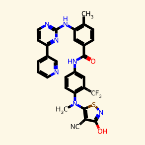 Cc1ccc(C(=O)Nc2ccc(N(C)c3snc(O)c3C#N)c(C(F)(F)F)c2)cc1Nc1nccc(-c2cccnc2)n1